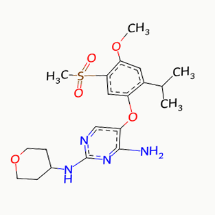 COc1cc(C(C)C)c(Oc2cnc(NC3CCOCC3)nc2N)cc1S(C)(=O)=O